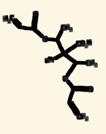 C=CC(=O)OC(C)C(CCC)(C(=O)O)C(C)OC(=O)C=C